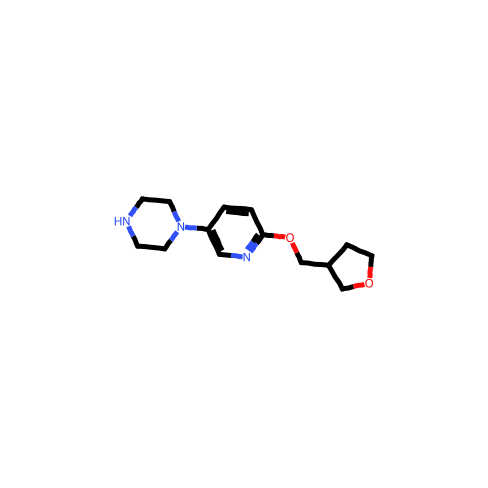 c1cc(OCC2CCOC2)ncc1N1CCNCC1